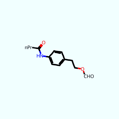 CCCC(=O)Nc1ccc(CCOC=O)cc1